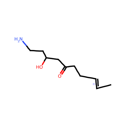 C/C=C/CCC(=O)CC(O)CCN